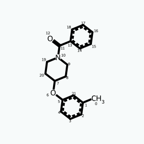 Cc1cccc(OC2CCN(C(=O)c3ccccc3)CC2)c1